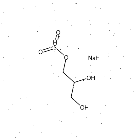 O=[SH](=O)OCC(O)CO.[NaH]